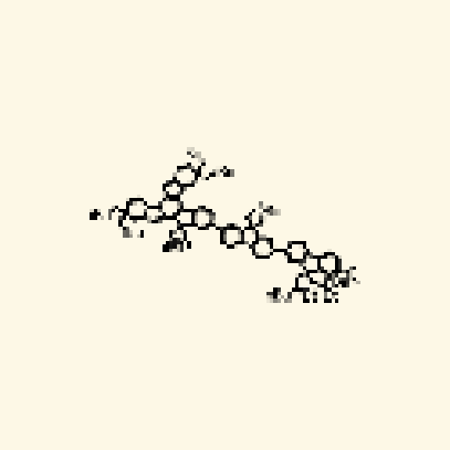 CCCCC(CC)CC1(CC(CC)CCCC)c2cc(-c3ccc4c(c3)C(CC(C)CC)(CC(C)CC)c3cc(-c5ccc6c(c5)C(CC(C)CC)(CC(C)CC)c5c-6c6c(c7c5=CC5=CC(CC(C)CC)(CC(C)CC)C=CC=75)C=C5C=CC(CC(C)CC)(CC(C)CC)C=C56)ccc3-4)ccc2-c2ccc([Si](C)(C)C)cc21